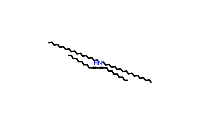 CCCCCCCCCC#CC#CCCCCCCCCC.CCCCCCCCCCCCCCCCCCNCCCCCCCCCCCCCCCCCC